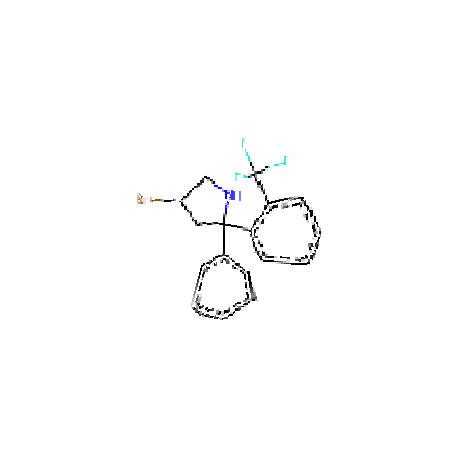 FC(F)(F)c1ccccc1C1(c2ccccc2)CC(Br)CN1